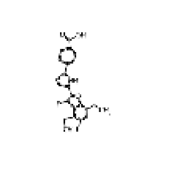 CCc1cc(F)c(CC)c2c(F)c(-c3ccc(-c4ccc(C(=O)O)cc4)[nH]3)oc12